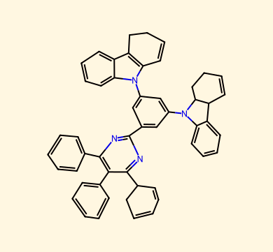 C1=CCC(c2nc(-c3cc(N4c5ccccc5C5C=CCCC54)cc(-n4c5c(c6ccccc64)CCC=C5)c3)nc(-c3ccccc3)c2-c2ccccc2)C=C1